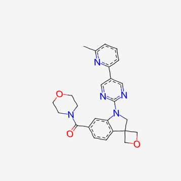 Cc1cccc(-c2cnc(N3CC4(COC4)c4ccc(C(=O)N5CCOCC5)cc43)nc2)n1